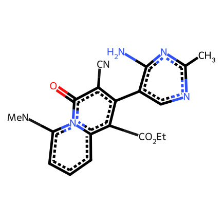 CCOC(=O)c1c(-c2cnc(C)nc2N)c(C#N)c(=O)n2c(NC)cccc12